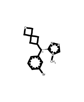 Cn1cnnc1[C@H](c1cccc(Br)c1)C1CC2(COC2)C1